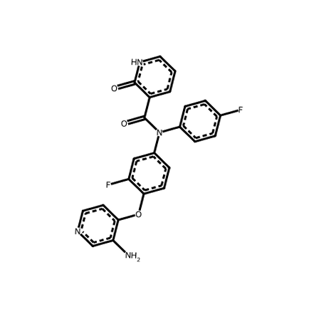 Nc1cnccc1Oc1ccc(N(C(=O)c2ccc[nH]c2=O)c2ccc(F)cc2)cc1F